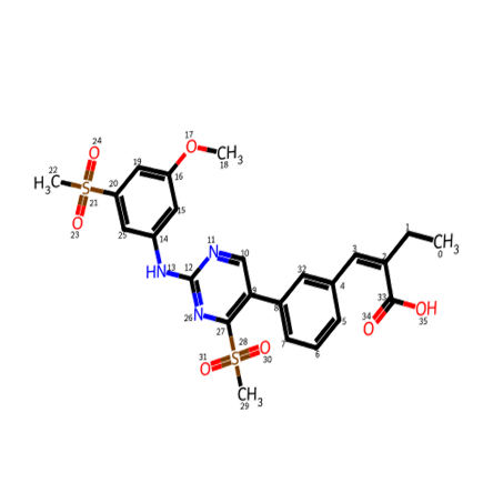 CCC(=Cc1cccc(-c2cnc(Nc3cc(OC)cc(S(C)(=O)=O)c3)nc2S(C)(=O)=O)c1)C(=O)O